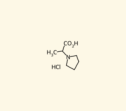 CC(C(=O)O)N1CCCC1.Cl